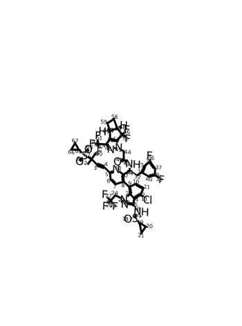 CC(C)(C#Cc1ccc(-c2ccc(Cl)c3c(N[S+]([O-])C4CC4)nn(CC(F)(F)F)c23)c([C@H](Cc2cc(F)cc(F)c2)NC(=O)Cn2nc(C(F)(F)F)c3c2C(F)(F)[C@@H]2CC[C@H]32)n1)S(=O)(=O)C1CC1